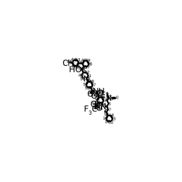 C#CN(CC)CCC(CSc1ccccc1)Nc1ccc(S(=O)(=O)NC(=O)c2ccc(N3CCC([C@@H](O)c4ccccc4-c4ccc(Cl)cc4)CC3)cc2)cc1S(=O)(=O)C(F)(F)F